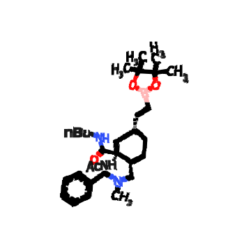 CCCCNC(=O)[C@@]1(NC(C)=O)C[C@H](CCB2OC(C)(C)C(C)(C)O2)CC[C@H]1CN(C)Cc1ccccc1